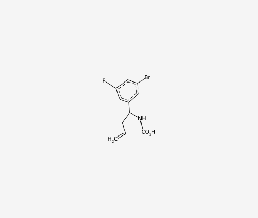 C=CCC(NC(=O)O)c1cc(F)cc(Br)c1